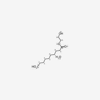 O.O=C(O)CCCCCCCCC(=O)OCCO